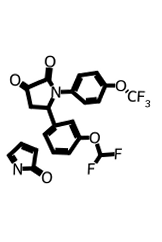 O=C1C=CC=N1.O=C1CC(c2cccc(OC(F)F)c2)N(c2ccc(OC(F)(F)F)cc2)C1=O